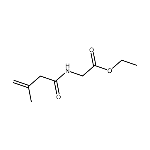 C=C(C)CC(=O)NCC(=O)OCC